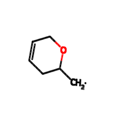 [CH2]C1CC=CCO1